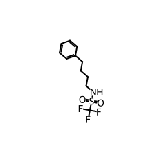 O=S(=O)(NCCCCc1ccccc1)C(F)(F)F